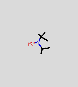 CC(C)N(O)C(C)(C)C